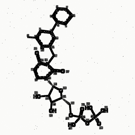 Cc1cc(-c2ccccc2)cc(Cn2c(=O)ccn([C@@H]3O[C@H](COP(=O)(O)OP(=O)(O)O)C(O)C3O)c2=O)n1